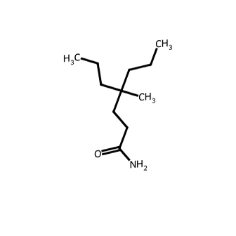 CCCC(C)(CCC)CCC(N)=O